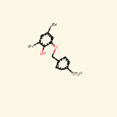 CC(C)(C)c1cc(OCc2ccc(C(=O)O)cc2)c(O)c(C(C)(C)C)c1